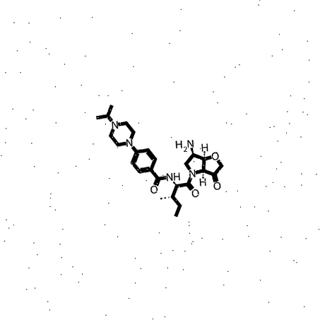 CC[C@H](C)[C@H](NC(=O)c1ccc(N2CCN(C(C)C)CC2)cc1)C(=O)N1C[C@@H](N)[C@H]2OCC(=O)[C@H]21